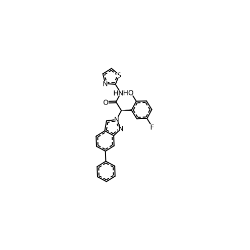 O=C(Nc1nccs1)[C@@H](c1cc(F)ccc1O)n1cc2ccc(-c3ccccc3)cc2n1